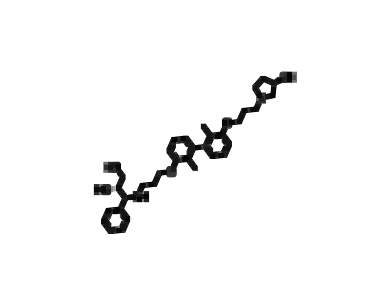 Cc1c(OCCCN[C@@H](c2ccccc2)[C@H](O)CO)cccc1-c1cccc(OCCCN2CC[C@@H](O)C2)c1C